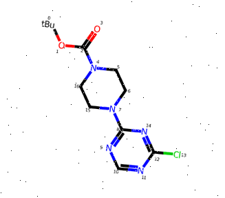 CC(C)(C)OC(=O)N1CCN(c2ncnc(Cl)n2)CC1